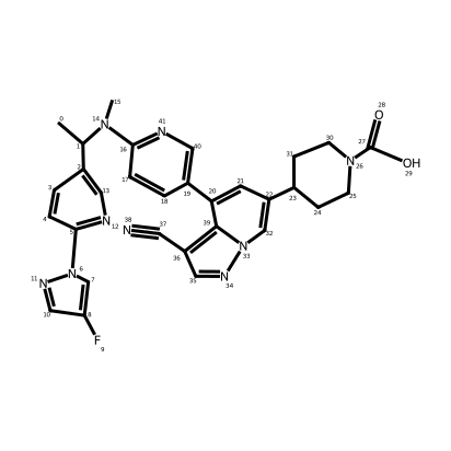 CC(c1ccc(-n2cc(F)cn2)nc1)N(C)c1ccc(-c2cc(C3CCN(C(=O)O)CC3)cn3ncc(C#N)c23)cn1